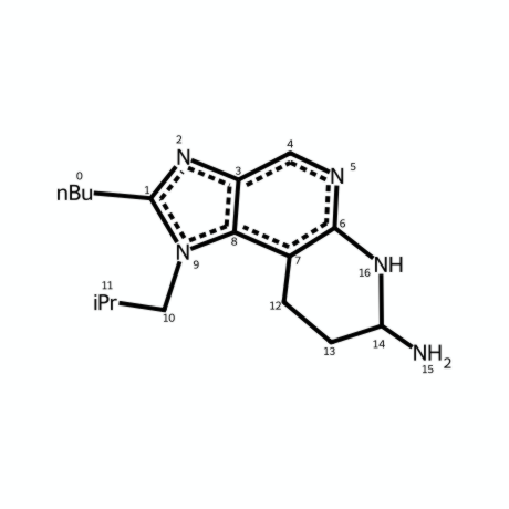 CCCCc1nc2cnc3c(c2n1CC(C)C)CCC(N)N3